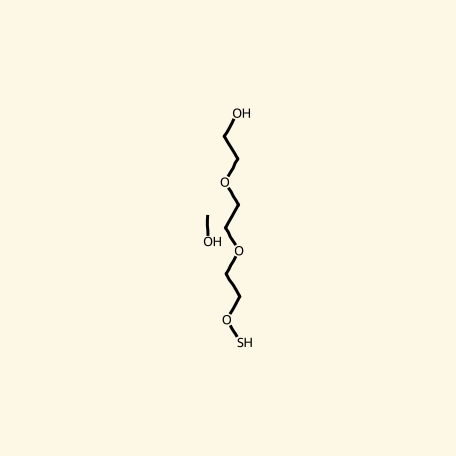 CO.OCCOCCOCCOS